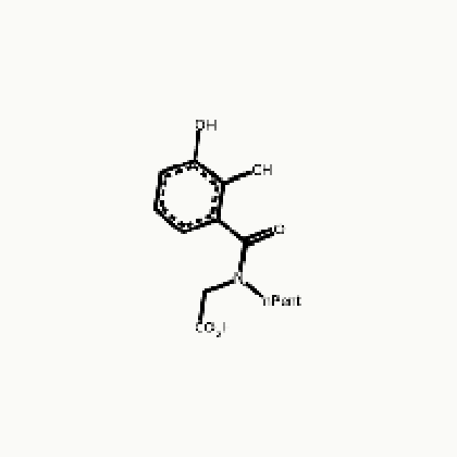 CCCCCN(CC(=O)O)C(=O)c1cccc(O)c1O